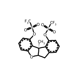 C[C@]12c3c(cccc3OS(=O)(=O)C(F)(F)F)CC1Oc1cccc(OS(=O)(=O)C(F)(F)F)c12